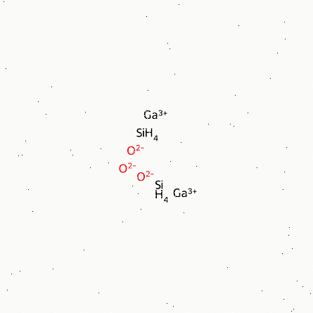 [Ga+3].[Ga+3].[O-2].[O-2].[O-2].[SiH4].[SiH4]